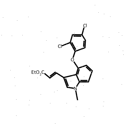 CCOC(=O)C=Cc1cn(C)c2cccc(Oc3ccc(Cl)cc3Cl)c12